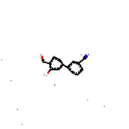 N#Cc1cccc(-c2ccc(C=O)c(O)c2)c1